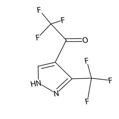 O=C(c1c[nH]nc1C(F)(F)F)C(F)(F)F